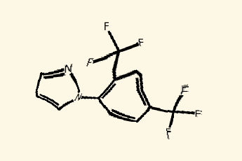 FC(F)(F)c1ccc(-n2cccn2)c(C(F)(F)F)c1